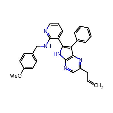 C=CCc1cnc2[nH]c(-c3cccnc3NCc3ccc(OC)cc3)c(-c3ccccc3)c2n1